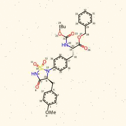 COc1ccc(C[C@H]2C(=O)NS(=O)(=O)N2c2ccc(C[C@H](NC(=O)OC(C)(C)C)C(=O)OCc3ccccc3)cc2)cc1